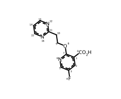 O=C(O)c1cc(F)cnc1OCCc1ncccn1